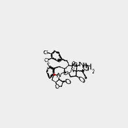 NC(=O)C12C(=O)COC1CCN2C(=O)C(Cc1ccc(Cl)c(Cl)c1)[C](Cc1cccs1)C(=O)N1CCC2OCC(=O)C21